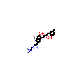 Cc1cccc(C[C@H](O)/C=C/[C@@H]2[C@H]3CC(CCNCCN(C)C)=C[C@H]3C[C@H]2O)c1